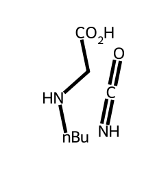 CCCCNCC(=O)O.N=C=O